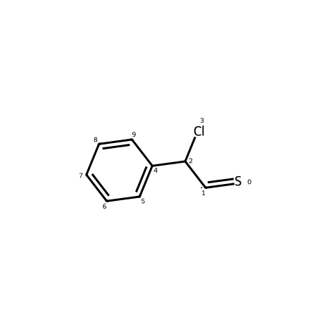 S=[C]C(Cl)c1ccccc1